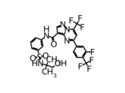 CC(C)(CO)NS(=O)(=O)c1cccc(NC(=O)c2cnn3c(C(F)(F)F)cc(-c4ccc(C(F)(F)F)c(F)c4)nc23)c1